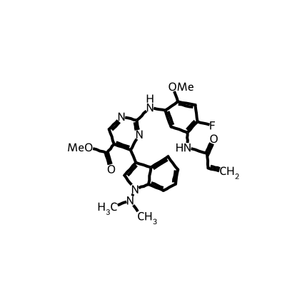 C=CC(=O)Nc1cc(Nc2ncc(C(=O)OC)c(-c3cn(N(C)C)c4ccccc34)n2)c(OC)cc1F